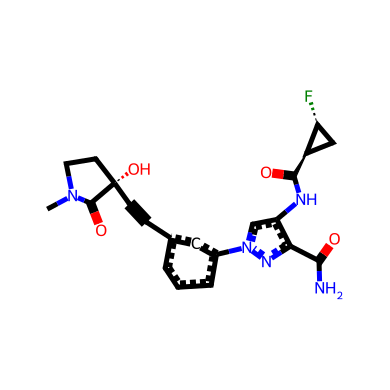 CN1CC[C@@](O)(C#Cc2cccc(-n3cc(NC(=O)[C@@H]4C[C@H]4F)c(C(N)=O)n3)c2)C1=O